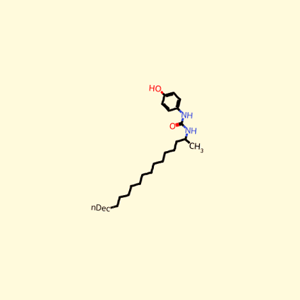 CCCCCCCCCCCCCCCCCCCCCCC(C)NC(=O)Nc1ccc(O)cc1